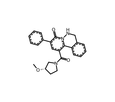 CO[C@H]1CCN(C(=O)c2cc(-c3ccccc3)c(=O)n3c2-c2ccccc2CN3)C1